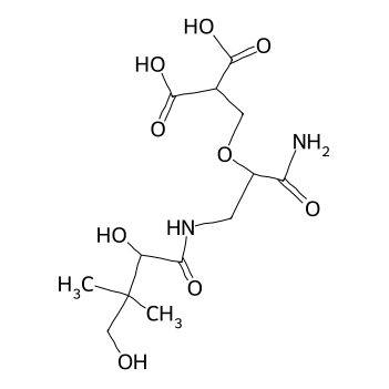 CC(C)(CO)C(O)C(=O)NCC(OCC(C(=O)O)C(=O)O)C(N)=O